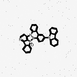 O=P12B3c4ccc(-n5c6ccccc6c6ccccc65)cc4-c4ccccc4N3c3ccnc(c31)-c1ccccc12